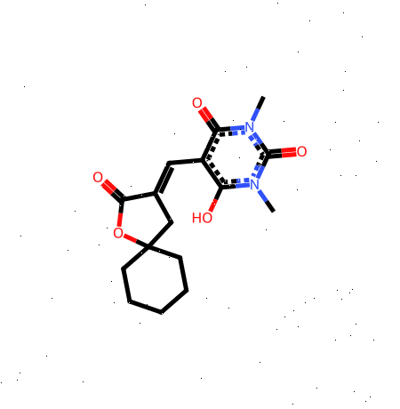 Cn1c(O)c(C=C2CC3(CCCCC3)OC2=O)c(=O)n(C)c1=O